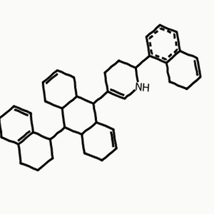 C1=CC2=C(CC1)CCCC2C1C2CCC=CC2C(C2=CNC(c3cccc4c3CCC=C4)CC2)C2CC=CCC21